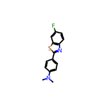 CN(C)c1ccc(-c2nc3ccc(F)cc3s2)cc1